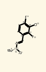 CC(C)(C)[S@@+]([O-])N=Cc1ccc(F)c(Cl)c1F